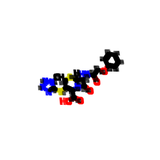 Cn1nnnc1SC1=C(C(=O)O)N2C(=O)[C@@H](NC(=O)COc3ccccc3)[C@@H]2SC1